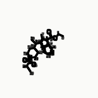 CCOC(=O)c1c(C)c(C(C)C2CCN(S(=O)(=O)CC)CC2)n2ccncc12